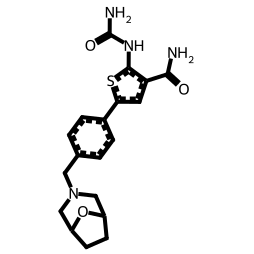 NC(=O)Nc1sc(-c2ccc(CN3CC4CCC(C3)O4)cc2)cc1C(N)=O